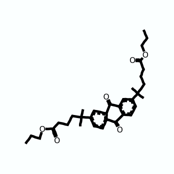 CCCOC(=O)CCCC(C)(C)c1ccc2c(c1)C(=O)c1cc(C(C)(C)CCCC(=O)OCCC)ccc1C2=O